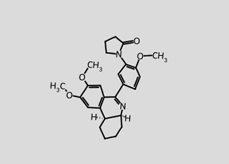 COc1cc2c(cc1OC)[C@@H]1CCCC[C@@H]1N=C2c1ccc(OC)c(N2CCCC2=O)c1